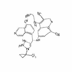 CC(C)(C)CNc1c(C#N)cnc2c(C#N)cc(N[C@H](C3=CN(C4(C(F)(F)F)CC4)NN3)c3ccc(C#N)c4cnccc34)cc12